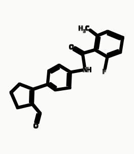 Cc1cccc(F)c1C(=O)Nc1ccc(C2=C(C=O)CCC2)cc1